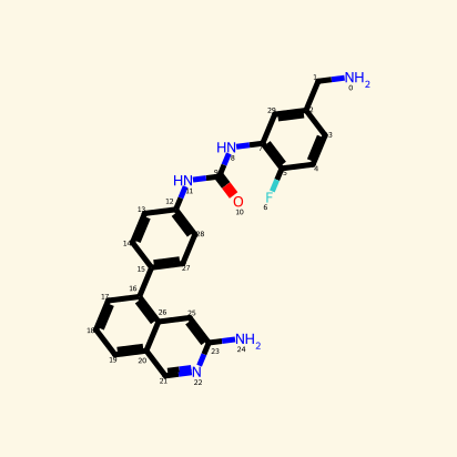 NCc1ccc(F)c(NC(=O)Nc2ccc(-c3cccc4cnc(N)cc34)cc2)c1